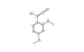 COc1ccc(C(Cl)=C=O)c(OC)c1